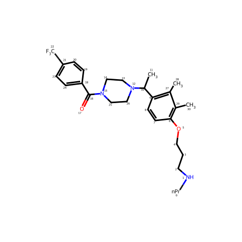 CCCNCCCOc1ccc(C(C)N2CCN(C(=O)c3ccc(C(F)(F)F)cc3)CC2)c(C)c1C